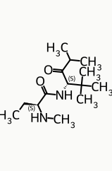 CC[C@H](NC)C(=O)N[C@H](C(=O)C(C)C)C(C)(C)C